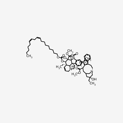 CCCCC/C=C\C/C=C\CCCCCCCCOC(=O)O[C@@H]1[C@]2(CC)C=CCN3CC[C@@]4(c5cc([C@@]6(C(=O)OC)CC7C[N@](CCc8c6[nH]c6ccccc86)C[C@](O)(CC)C7)c(OC)cc5N(C=O)[C@H]4[C@@]1(O)C(=O)OC)[C@@H]32